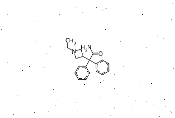 CCN1CC(C(C(N)=O)(c2ccccc2)c2ccccc2)C1